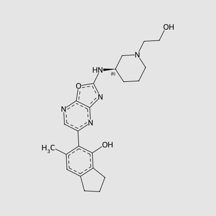 Cc1cc2c(c(O)c1-c1cnc3oc(N[C@@H]4CCCN(CCO)C4)nc3n1)CCC2